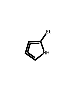 CCC1=C=C=CN1